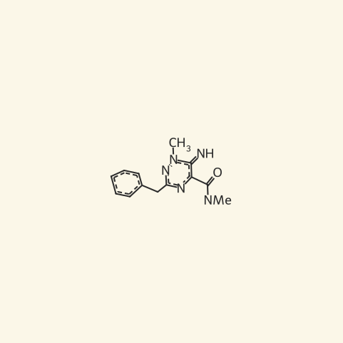 CNC(=O)c1nc(Cc2ccccc2)nn(C)c1=N